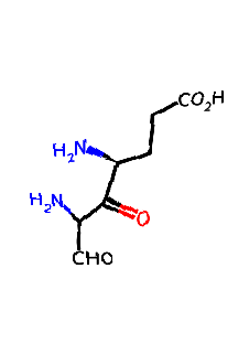 NC(C=O)C(=O)[C@@H](N)CCC(=O)O